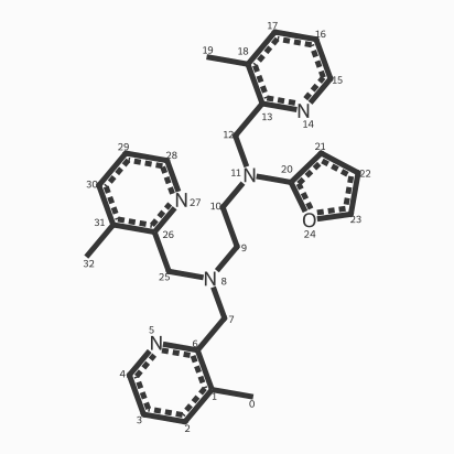 Cc1cccnc1CN(CCN(Cc1ncccc1C)c1ccco1)Cc1ncccc1C